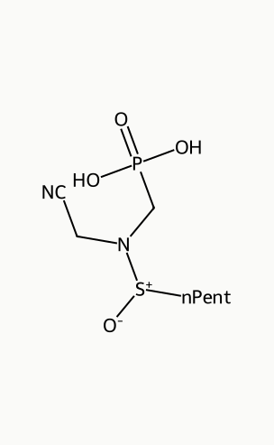 CCCCC[S+]([O-])N(CC#N)CP(=O)(O)O